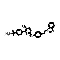 CC(C)(N)c1ccc(-c2nc(Nc3ccc(CCn4cnc5ccccc54)cc3)ncc2Cl)cc1